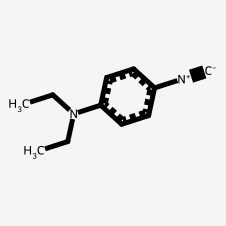 [C-]#[N+]c1ccc(N(CC)CC)cc1